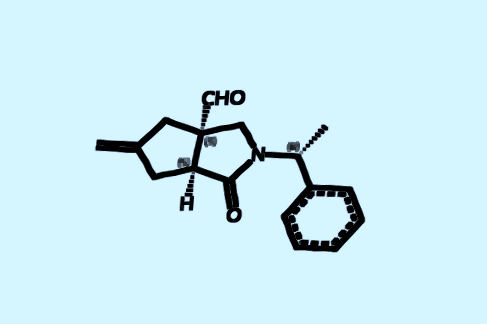 C=C1C[C@@H]2C(=O)N([C@H](C)c3ccccc3)C[C@]2(C=O)C1